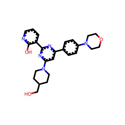 OCC1CCN(c2cc(-c3ccc(N4CCOCC4)cc3)nc(-c3cccnc3O)n2)CC1